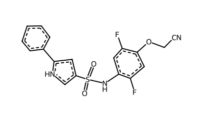 N#CCOc1cc(F)c(NS(=O)(=O)c2c[nH]c(-c3ccccc3)c2)cc1F